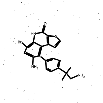 CC(C)(CN)c1ccc(-c2c(N)cc(Br)c3[nH]c(=O)c4sccc4c23)cc1